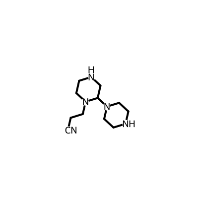 N#CCCN1CCNCC1N1CCNCC1